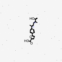 C=C(O)/C(C)=C/C=C(\C)c1ccc(-c2ccc(C(=O)O)o2)cc1